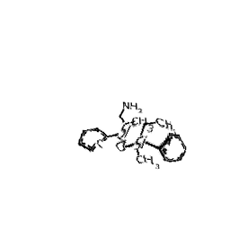 CC[Si](C)(O[Si](C)(CN)c1ccccc1)c1ccccc1